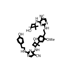 COc1cc(C2(C)[C@@H](O)C[C@H]2Nc2nc(NCCc3ccc(O)cc3)ncc2C#N)ccc1CCNc1ncc(C#N)c(N[C@@H]2C[C@H](O)C2(C)C)n1